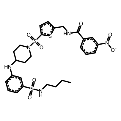 CCCCNS(=O)(=O)c1cccc(NC2CCN(S(=O)(=O)c3ccc(CNC(=O)c4cccc([N+](=O)[O-])c4)s3)CC2)c1